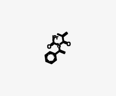 C=C(C)C(=O)N(C(=C)c1ccccc1)C(=O)C(C)C